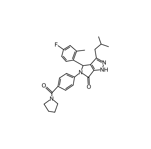 Cc1cc(F)ccc1C1c2c(CC(C)C)n[nH]c2C(=O)N1c1ccc(C(=O)N2CCCC2)cc1